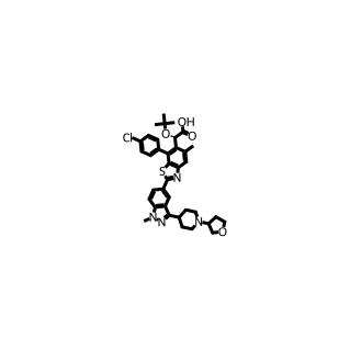 Cc1cc2nc(-c3ccc4c(c3)c(C3CCN(C5CCOC5)CC3)nn4C)sc2c(-c2ccc(Cl)cc2)c1[C@H](OC(C)(C)C)C(=O)O